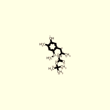 COc1cc(C)c(O)cc1CC(C)NC(=O)OC(C)(C)C